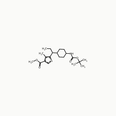 CCC(c1scc(C(=O)OC)c1C)C1CCC(NC(=O)OC(C)(C)C)CC1